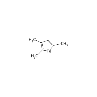 Cc1cc(C)c(C)[te]1